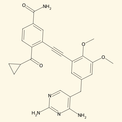 COc1cc(Cc2cnc(N)nc2N)cc(C#Cc2cc(C(N)=O)ccc2C(=O)C2CC2)c1OC